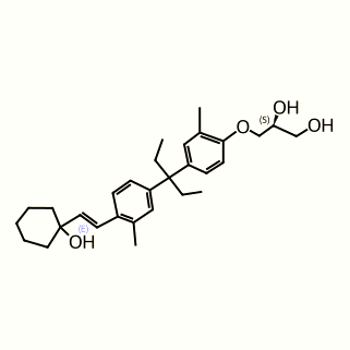 CCC(CC)(c1ccc(/C=C/C2(O)CCCCC2)c(C)c1)c1ccc(OC[C@@H](O)CO)c(C)c1